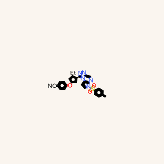 CC[C@@H]1C[C@@H](Oc2ccc(C#N)cc2)C[C@@H]1c1nnc2cnc3c(ccn3S(=O)(=O)c3ccc(C)cc3)n12